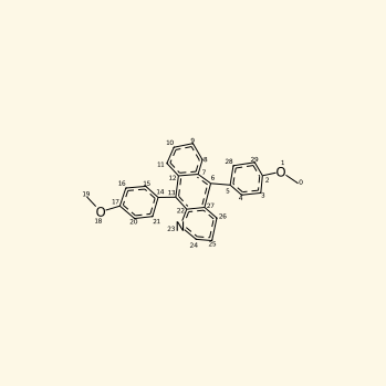 COc1ccc(-c2c3ccccc3c(-c3ccc(OC)cc3)c3ncccc23)cc1